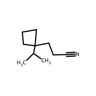 CC(C)C1(CCC#N)CCC1